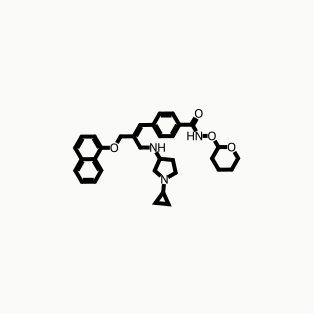 O=C(NOC1CCCCO1)c1ccc(C=C(CNC2CCN(C3CC3)C2)COc2cccc3ccccc23)cc1